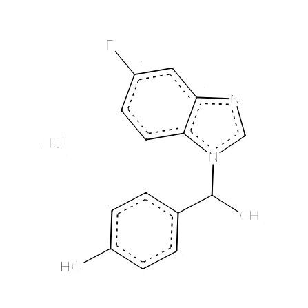 CC(c1ccc(O)cc1)n1cnc2cc(F)ccc21.Cl